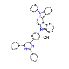 N#Cc1cc(-c2cc(-c3ccccc3)nc(-c3ccccc3)n2)ccc1-n1c2ccccc2c2c3c4ccccc4n(-c4ccccc4)c3ccc21